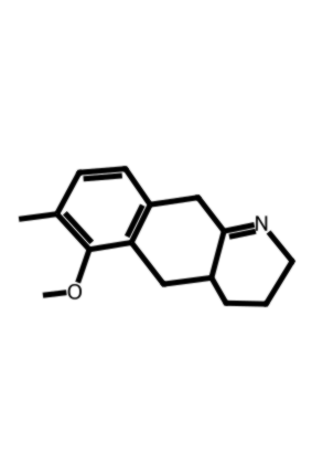 COc1c(C)ccc2c1CC1CCCN=C1C2